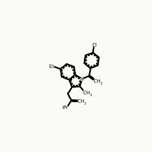 C=C(Cc1c(C)n(C(=C)c2ccc(Cl)cc2)c2ccc(CC)cc12)C(C)C